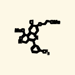 COCCOc1cc2nc(-c3cccc(C(F)(F)F)c3)c(CBr)c(C(=O)OC)c2cc1Cl